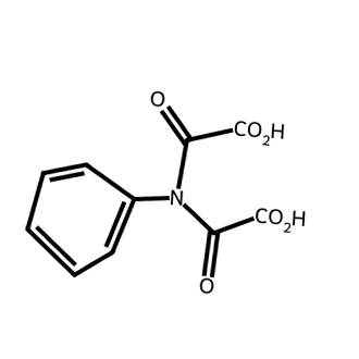 O=C(O)C(=O)N(C(=O)C(=O)O)c1ccccc1